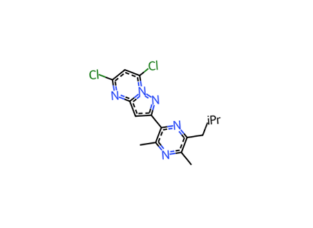 Cc1nc(C)c(-c2cc3nc(Cl)cc(Cl)n3n2)nc1CC(C)C